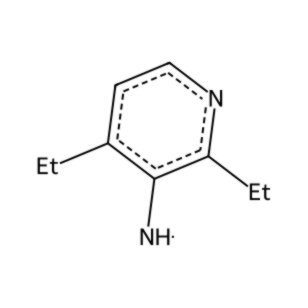 CCc1ccnc(CC)c1[NH]